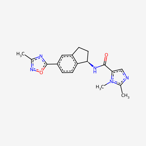 Cc1noc(-c2ccc3c(c2)CC[C@H]3NC(=O)c2cnc(C)n2C)n1